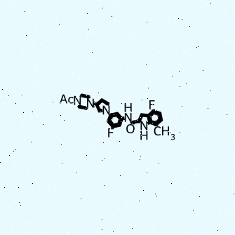 CC(=O)N1CCN([C@H]2CCN(c3cc(F)cc(NC(=O)C4Cc5c(F)ccc(C)c5N4)c3)C2)CC1